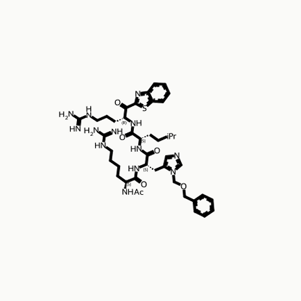 CC(=O)N[C@@H](CCCCNC(=N)N)C(=O)N[C@@H](Cc1cncn1COCc1ccccc1)C(=O)N[C@@H](CCC(C)C)C(=O)N[C@H](CCCNC(=N)N)C(=O)c1nc2ccccc2s1